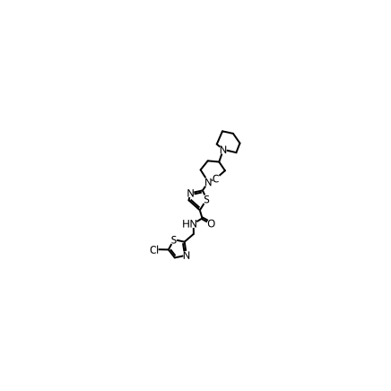 O=C(NCc1ncc(Cl)s1)c1cnc(N2CCC(N3CCCCC3)CC2)s1